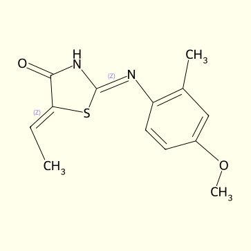 C/C=C1\S/C(=N\c2ccc(OC)cc2C)NC1=O